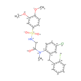 COc1ccc(S(=O)(=O)NCC(=O)N(C)c2ccc(Cl)cc2Cc2ccccc2F)cc1OC